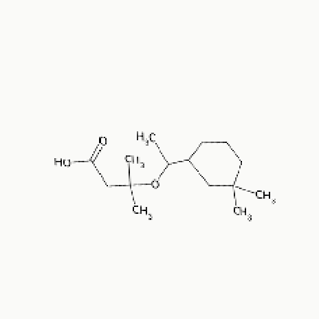 CC(OC(C)(C)CC(=O)O)C1CCCC(C)(C)C1